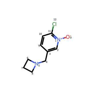 [O-][n+]1cc(CN2CCC2)ccc1Cl